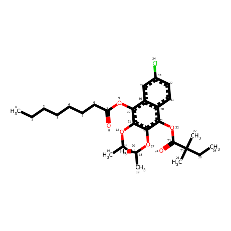 CCCCCCCC(=O)Oc1c(OC(C)C)c(OC(C)C)c(OC(=O)C(C)(C)CC)c2ccc(Cl)cc12